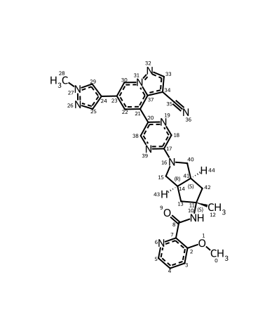 COc1cccnc1C(=O)N[C@]1(C)C[C@H]2CN(c3cnc(-c4cc(-c5cnn(C)c5)cn5ncc(C#N)c45)cn3)C[C@H]2C1